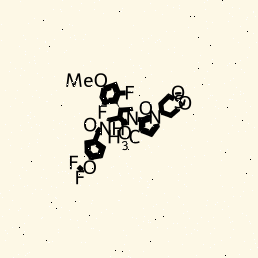 COc1cc(F)c([C@@H]2CN(c3c(C)ccn(C4CCS(=O)(=O)CC4)c3=O)C(=O)C2CNC(=O)c2ccc(OC(F)F)cc2)c(F)c1